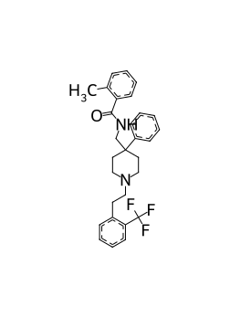 Cc1ccccc1C(=O)NCC1(c2ccccc2)CCN(CCc2ccccc2C(F)(F)F)CC1